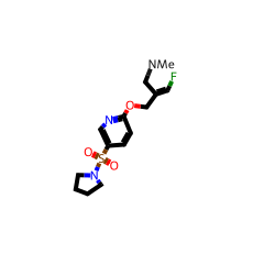 CNC/C(=C\F)COc1ccc(S(=O)(=O)N2CCCC2)cn1